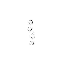 Clc1ccc(-c2cncc(CN3CC=C(c4ccccc4)CC3)c2)cc1